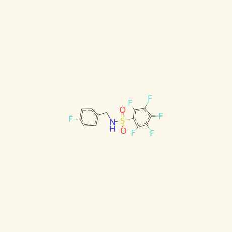 O=S(=O)(NCc1ccc(F)cc1)c1c(F)c(F)c(F)c(F)c1F